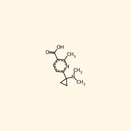 Cc1nc(C2(N(C)C)CC2)ccc1C(=O)O